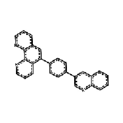 c1ccc2ncc(-c3ccc(-c4cc5cccnc5c5ncccc45)cc3)cc2c1